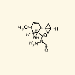 CC1C=CC([C@]23C[C@@H]2C3)[C@]2(C(=O)N(N)C=O)N[C@@H]12